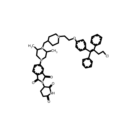 CC1CN(c2ccc3c(c2)C(=O)N(C2CCC(=O)NC2=O)C3=O)CC(C)N1CC1CCN(CCOc2ccc(C(=C(CCCl)c3ccccc3)c3ccccc3)cc2)CC1